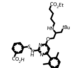 CCOC(=O)CCCCNC(COc1cc(-c2c(C)cccc2C)nc(NSc2cccc(C(=O)O)c2)n1)CC(C)(C)C